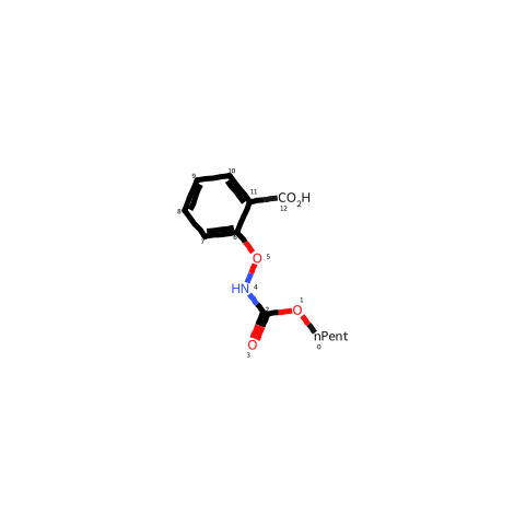 CCCCCOC(=O)NOc1ccccc1C(=O)O